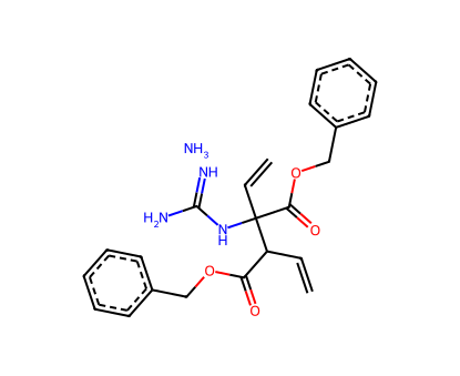 C=CC(C(=O)OCc1ccccc1)C(C=C)(NC(=N)N)C(=O)OCc1ccccc1.N